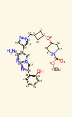 CC(C)(C)OC(=O)N1CCC(O[C@H]2C[C@H](Cn3cc(-c4cn5cc(-c6ccccc6O)nc5nc4N)cn3)C2)CC1